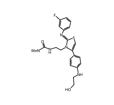 CNC(=O)NCCn1c(-c2ccc(NCCO)cc2)csc1=Nc1cccc(F)c1